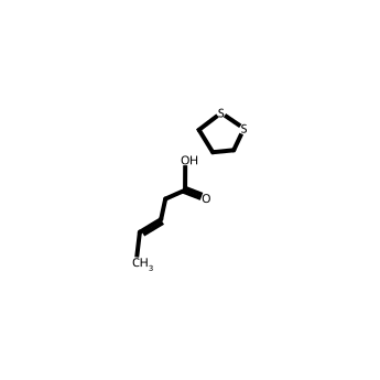 C1CSSC1.CC=CCC(=O)O